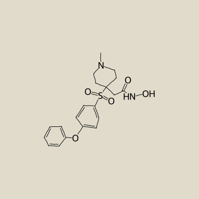 CN1CCC(CC(=O)NO)(S(=O)(=O)c2ccc(Oc3ccccc3)cc2)CC1